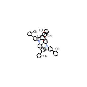 N#Cc1ccccc1-c1ccc2c(c1)c1cc(-c3ccccc3C#N)ccc1n2-c1ccc(-c2ccc(C(F)(F)F)cc2C(F)(F)F)cc1-c1c(C#N)cccc1-n1c2ccc(-c3ccccc3C#N)cc2c2cc(-c3ccccc3C#N)ccc21